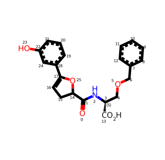 O=C(N[C@@H](COCc1ccccc1)C(=O)O)C1CC=C(c2cccc(O)c2)O1